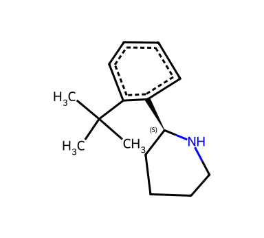 CC(C)(C)c1ccccc1[C@@H]1CCCCN1